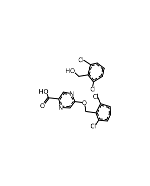 O=C(O)c1cnc(OCc2c(Cl)cccc2Cl)cn1.OCc1c(Cl)cccc1Cl